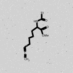 C=C=CCCCCC(NC(=O)CC)C(=O)OC